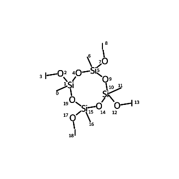 C[Si]1(OI)O[Si](C)(OI)O[Si](C)(OI)O[Si](C)(OI)O1